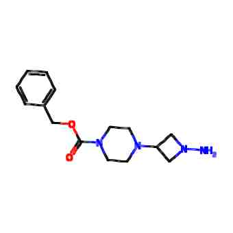 NN1CC(N2CCN(C(=O)OCc3ccccc3)CC2)C1